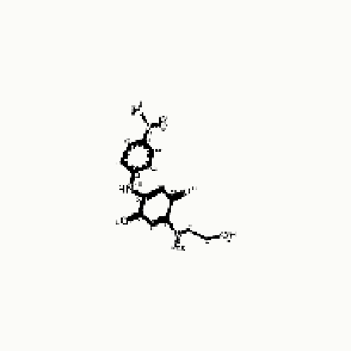 CCN(CCO)C1=CC(=O)C(Nc2ccc(N(CC)C(C)C)cc2)=CC1=O